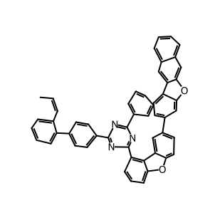 C/C=C\c1ccccc1-c1ccc(-c2nc(-c3ccccc3)nc(-c3cccc4oc5ccc(-c6ccc7c(c6)oc6cc8ccccc8cc67)cc5c34)n2)cc1